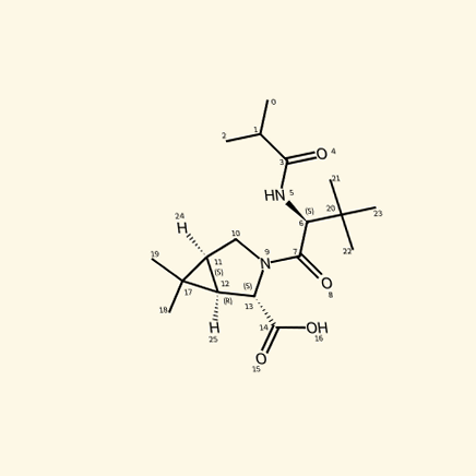 CC(C)C(=O)N[C@H](C(=O)N1C[C@H]2[C@@H]([C@H]1C(=O)O)C2(C)C)C(C)(C)C